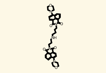 O=C1c2cccc3c(N4CCOCC4)ccc(c23)C(=O)N1CCCCNCCCN1C(=O)c2cccc3c(N4CCOCC4)ccc(c23)C1=O